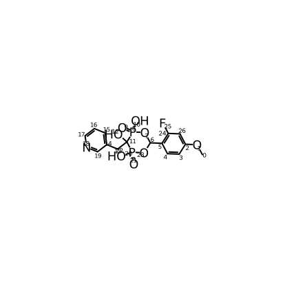 COc1ccc(C2OP(=O)(O)C(O)(Cc3cccnc3)P(=O)(O)O2)c(F)c1